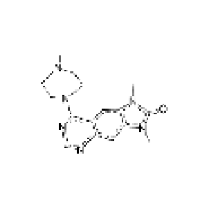 Cn1c(=O)n(C)c2cc3c(N4CCNCC4)ncnc3cc21